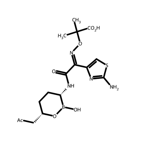 CC(=O)C[C@@H]1CC[C@H](NC(=O)/C(=N/OC(C)(C)C(=O)O)c2csc(N)n2)B(O)O1